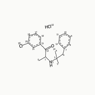 CC(NC(C)(C)Cc1ccccc1)C(=O)c1cccc(Cl)c1.Cl